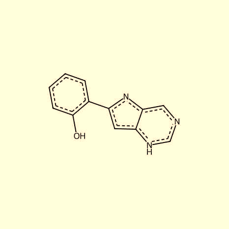 Oc1ccccc1-c1cc2[nH]cncc-2n1